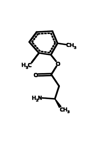 Cc1cccc(C)c1OC(=O)C[C@@H](C)N